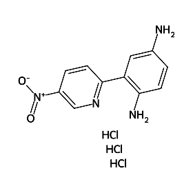 Cl.Cl.Cl.Nc1ccc(N)c(-c2ccc([N+](=O)[O-])cn2)c1